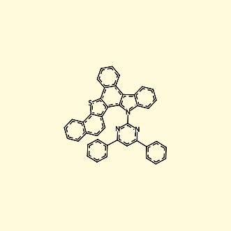 c1ccc(-c2cc(-c3ccccc3)nc(-n3c4ccccc4c4c5ccccc5c5sc6c7ccccc7ccc6c5c43)n2)cc1